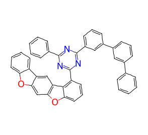 c1ccc(-c2cccc(-c3cccc(-c4nc(-c5ccccc5)nc(-c5cccc6oc7cc8oc9ccccc9c8cc7c56)n4)c3)c2)cc1